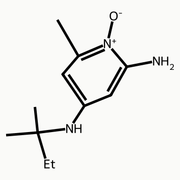 CCC(C)(C)Nc1cc(C)[n+]([O-])c(N)c1